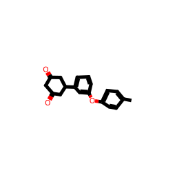 Cc1ccc(Oc2cccc(C3CC(=O)CC(=O)C3)c2)cc1